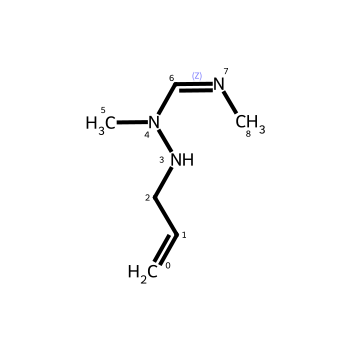 C=CCNN(C)/C=N\C